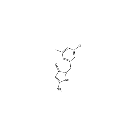 Cc1cc(Cl)cc(Cn2[nH]c(N)cc2=O)c1